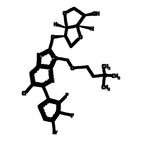 C[Si](C)(C)CCOCn1c(O[C@@H]2CO[C@H]3[C@@H]2OC[C@H]3O)nc2cc(Cl)c(-c3ccc(Br)c(F)c3F)nc21